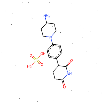 NC1CCN(c2ccc(C3CCC(=O)NC3=O)cc2)CC1.O=S(=O)(O)O